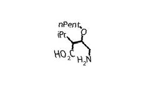 CCCCCOC(CN)C(C(=O)O)C(C)C